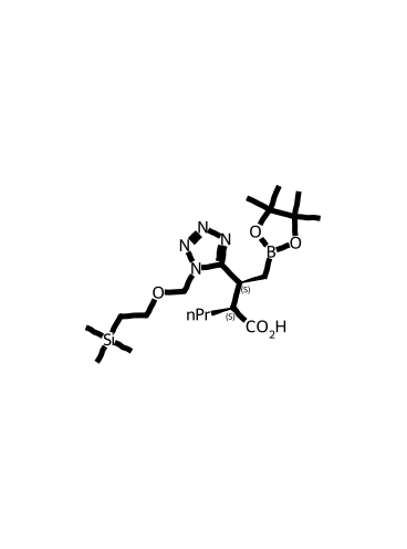 CCC[C@H](C(=O)O)[C@H](CB1OC(C)(C)C(C)(C)O1)c1nnnn1COCC[Si](C)(C)C